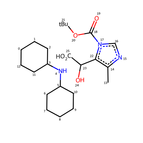 C1CCC(NC2CCCCC2)CC1.Cc1ncn(C(=O)OC(C)(C)C)c1C(O)C(=O)O